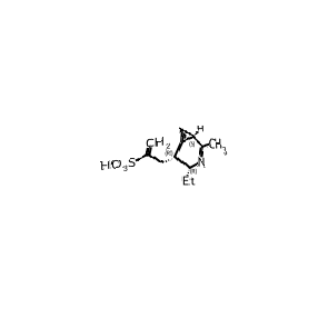 C=C(C[C@@H]1C2=C[C@@H]2C(C)=N[C@@H]1CC)S(=O)(=O)O